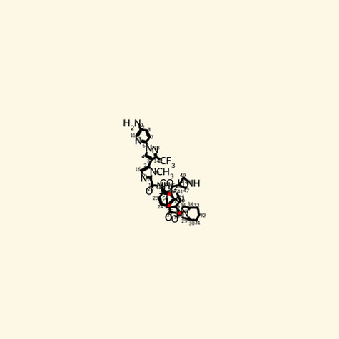 Cn1c(-c2cn(-c3ccc(N)cn3)nc2C(F)(F)F)cnc1C(=O)Nc1ccc(C(=O)N2CC3CCCC(C2)N3C(=O)C2CC[N+](CC(=O)O)(CC3CNC3)CC2)c(Cl)c1